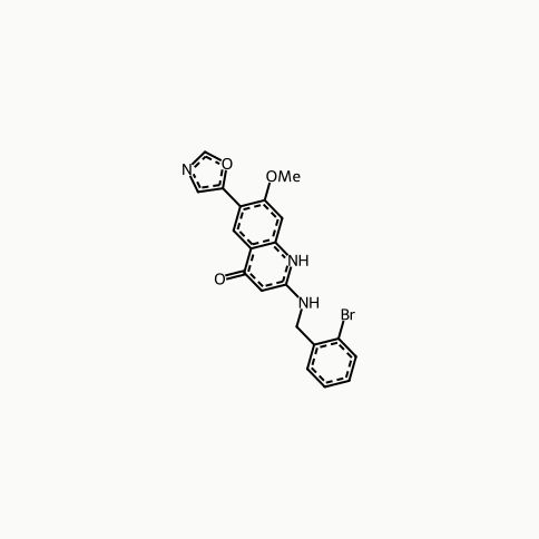 COc1cc2[nH]c(NCc3ccccc3Br)cc(=O)c2cc1-c1cnco1